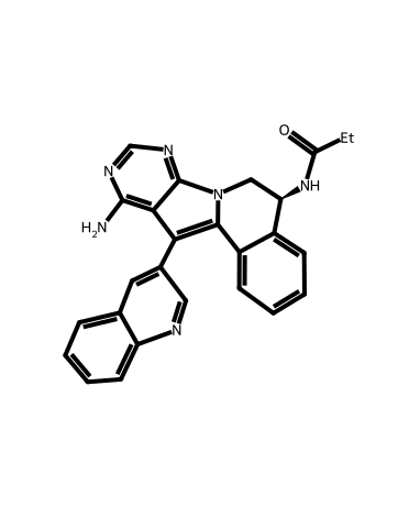 CCC(=O)N[C@@H]1Cn2c(c(-c3cnc4ccccc4c3)c3c(N)ncnc32)-c2ccccc21